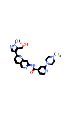 CN1CCN(c2cc(C(=O)Nc3cc4nc(-c5cnn(C)c5CO)ccc4cn3)ccn2)CC1